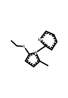 CCSc1ccc(C)n1-c1ccccn1